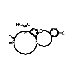 CN1CCCCCCCN2CCCCc3cc(Cl)ccc3COc3ccc(cc32)[C@H](C(=O)O)CCC1=O